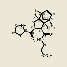 O=C(O)CCNC(=O)[C@@H]1[C@@H]2[C@H](CN1C(=O)[C@H]1CCCN1)[C@@H]1C=C[C@H]2C1